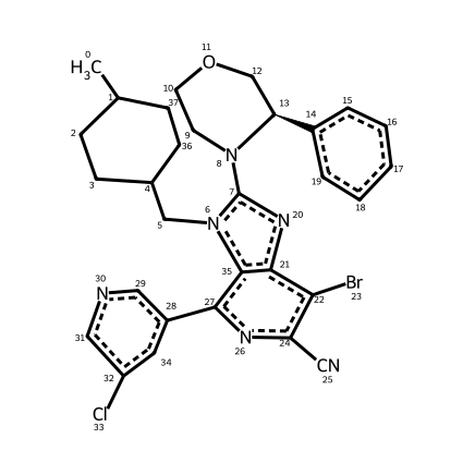 CC1CCC(Cn2c(N3CCOC[C@H]3c3ccccc3)nc3c(Br)c(C#N)nc(-c4cncc(Cl)c4)c32)CC1